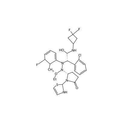 CCON([C@@H]1CCC(=O)N1C1NC=CS1)N(C1=CC=CC(F)C1C)[C@@H](c1ccccc1Cl)C(O)NC1CC(F)(F)C1